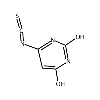 Oc1cc(N=C=S)nc(O)n1